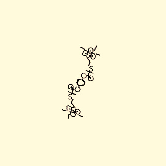 CCO[Si](CCCSC(C)(C)C(=O)Oc1ccc(OC(=O)C(C)(C)SCCC[Si](OCC)(OCC)OCC)cc1)(OCC)OCC